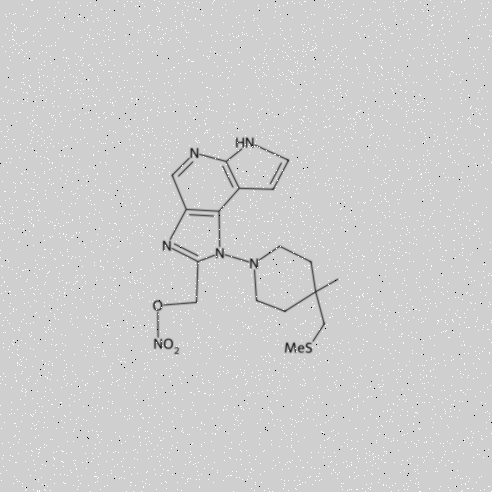 CSCC1(C)CCN(n2c(CO[N+](=O)[O-])nc3cnc4[nH]ccc4c32)CC1